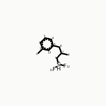 Cc1cccc(CC(C)C[SiH](F)F)c1